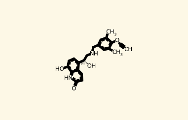 C#COc1c(C)cc(CNC[C@H](O)c2ccc(O)c3[nH]c(=O)ccc23)cc1C